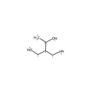 CCCCC(CO)C(C)O